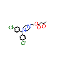 CC(=O)CC(=O)OCCN1CCN(C(c2ccc(Cl)cc2)c2ccc(Cl)cc2)CC1